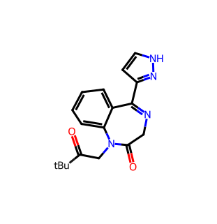 CC(C)(C)C(=O)CN1C(=O)CN=C(c2cc[nH]n2)c2ccccc21